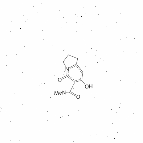 CNC(=O)c1c(O)cc2n(c1=O)CCC2